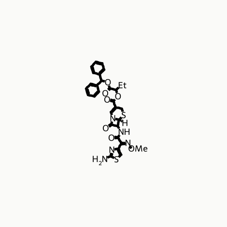 CCC(OC(=O)C1=CN2C(=O)C(NC(=O)C(=NOC)c3csc(N)n3)[C@H]2SC1)C(=O)OC(c1ccccc1)c1ccccc1